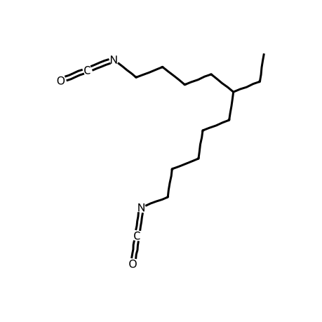 CCC(CCCCCN=C=O)CCCCN=C=O